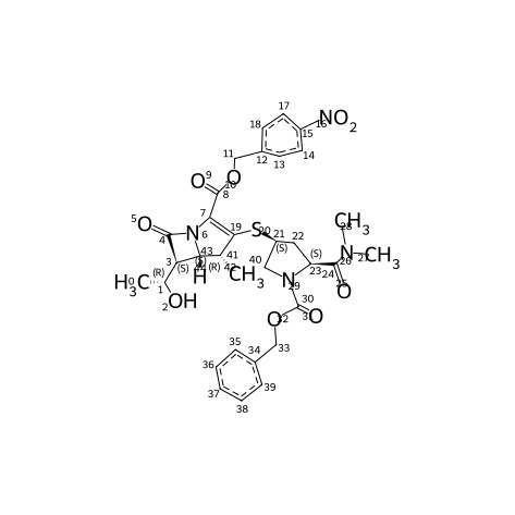 C[C@@H](O)[C@H]1C(=O)N2C(C(=O)OCc3ccc([N+](=O)[O-])cc3)=C(S[C@H]3C[C@@H](C(=O)N(C)C)N(C(=O)OCc4ccccc4)C3)[C@H](C)[C@H]12